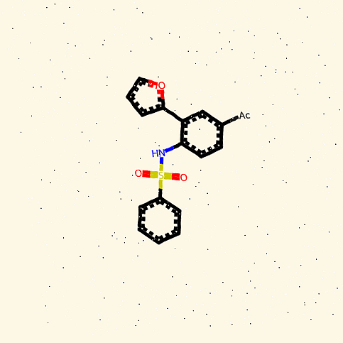 CC(=O)c1ccc(NS(=O)(=O)c2ccccc2)c(-c2ccco2)c1